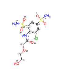 NS(=O)(=O)c1cc(Cl)c(NC(=O)COCCO)c(S(N)(=O)=O)c1